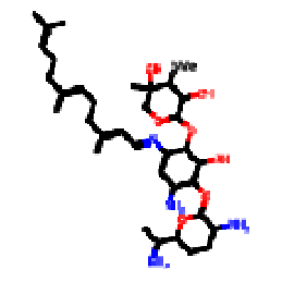 CNC1C(O)C(OC2C(/N=C/C=C(\C)CC/C=C(\C)CCC=C(C)C)CC(N)C(OC3OC(C(C)N)CCC3N)C2O)OCC1(C)O